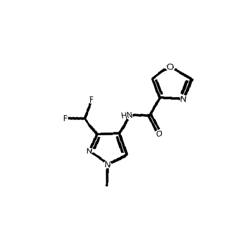 Cn1cc(NC(=O)c2cocn2)c(C(F)F)n1